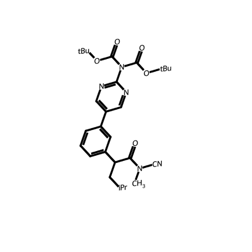 CC(C)CC(C(=O)N(C)C#N)c1cccc(-c2cnc(N(C(=O)OC(C)(C)C)C(=O)OC(C)(C)C)nc2)c1